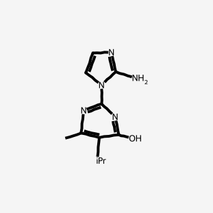 Cc1nc(-n2ccnc2N)nc(O)c1C(C)C